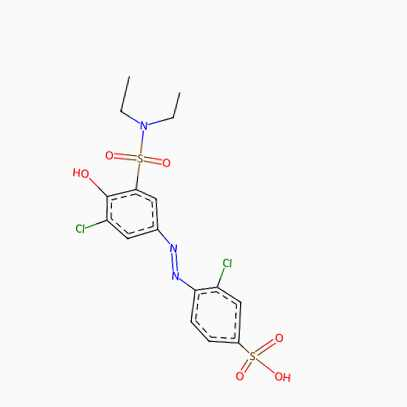 CCN(CC)S(=O)(=O)c1cc(/N=N/c2ccc(S(=O)(=O)O)cc2Cl)cc(Cl)c1O